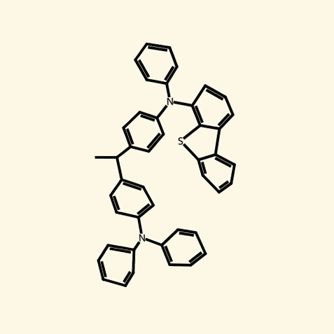 CC(c1ccc(N(c2ccccc2)c2ccccc2)cc1)c1ccc(N(c2ccccc2)c2cccc3c2sc2ccccc23)cc1